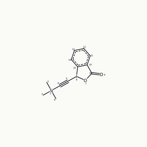 C[Si](C)(C)C#CI1OC(=O)c2ccccc21